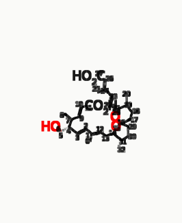 CC(/C=C/[C@H](CO)[C@@H](C)/C=C/C(=O)O)=C\CC1O[C@@]2(CCC(C)C(/C=C/C(C)=C/C(=O)O)O2)CC[C@@H]1C